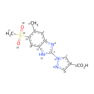 Cc1cc2nc(-n3cc(C(=O)O)cn3)[nH]c2cc1S(C)(=O)=O